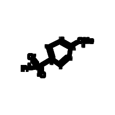 COc1ccc(S(=O)(=O)C(C)C)cc1